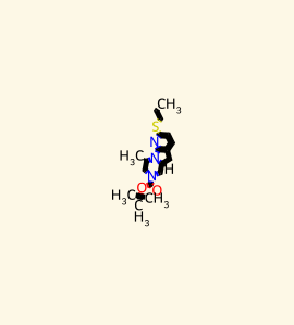 CCCSc1ccc2c(n1)N1[C@H](C2)CN(C(=O)OC(C)(C)C)C[C@H]1C